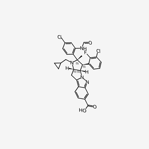 C[C@@]1(c2ccc(Cl)cc2NC=O)[C@@H](c2cccc(Cl)c2F)[C@H]2[C@H](Cc3c4ccc(C(=O)O)cc4nn32)N1CC1CC1